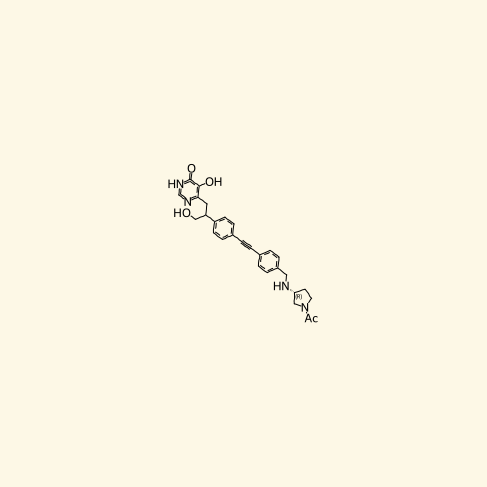 CC(=O)N1CC[C@@H](NCc2ccc(C#Cc3ccc(C(CO)Cc4nc[nH]c(=O)c4O)cc3)cc2)C1